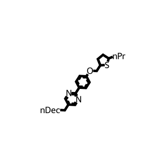 CCCCCCCCCCCc1cnc(-c2ccc(OCC3CCC(CCC)S3)cc2)nc1